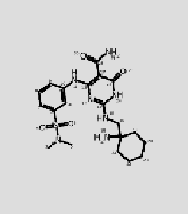 CN(C)S(=O)(=O)c1cccc(Nc2nc(NCC3(N)CCCCC3)[nH]c(=O)c2C(N)=O)c1